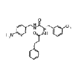 Nc1ccc(CNC(=O)[C@H](Cc2cccc(C(F)(F)F)c2)NC(=O)CCc2ccccc2)cn1